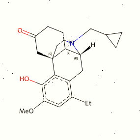 CCc1cc(OC)c(O)c2c1C[C@@H]1[C@@H]3CCC(=O)C[C@]23CCN1CC1CC1